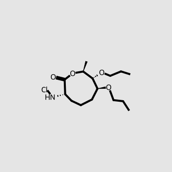 CCCO[C@H]1[C@H](C)OC(=O)[C@@H](NCl)CCC[C@@H]1OCCC